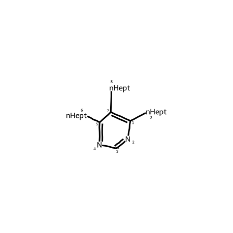 CCCCCCCc1n[c]nc(CCCCCCC)c1CCCCCCC